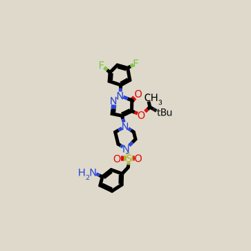 CC(Oc1c(N2CCN(S(=O)(=O)Cc3cccc(N)c3)CC2)cnn(-c2cc(F)cc(F)c2)c1=O)C(C)(C)C